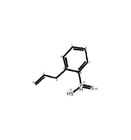 C=CCc1ccccc1[PH](=S)S